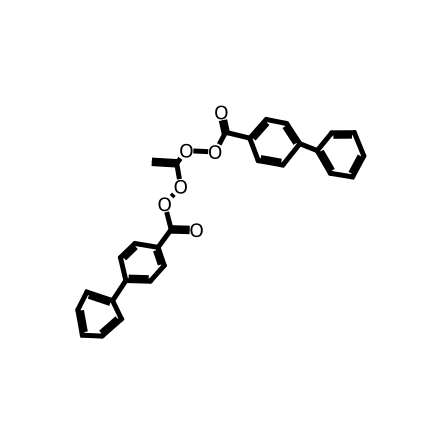 C=C(OOC(=O)c1ccc(-c2ccccc2)cc1)OOC(=O)c1ccc(-c2ccccc2)cc1